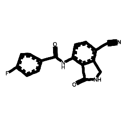 N#Cc1ccc(NC(=O)c2ccc(F)cc2)c2c1CNC2=O